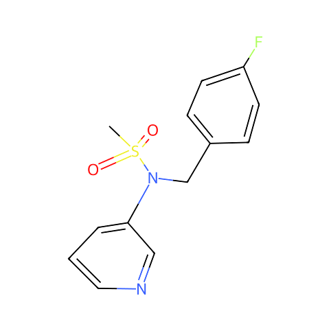 CS(=O)(=O)N(Cc1ccc(F)cc1)c1cccnc1